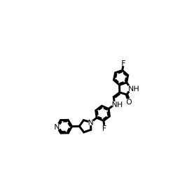 O=C1Nc2cc(F)ccc2/C1=C/Nc1ccc(N2CCC(c3ccncc3)C2)c(F)c1